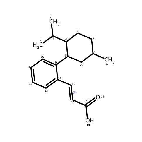 CC1CCC(C(C)C)C(c2ccccc2/C=C/C(=O)O)C1